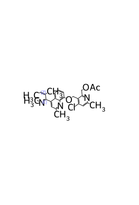 C/C=C(C)\C(=N/C)c1cc(C)nc2c(OCc3c(Cl)cc(C)nc3COC(C)=O)cccc12